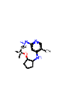 CC(C)(C)[Si](C)(C)OC1CCCC1Nc1cc(N)ncc1C#N